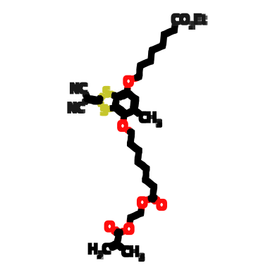 C=C(C)C(=O)OCCOC(=O)CCCCCCCOc1c(C)cc(OCCCCCCCC(=O)OCC)c2c1SC(=C(C#N)C#N)S2